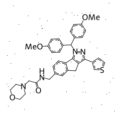 COc1ccc(C(c2ccc(OC)cc2)n2nc(-c3ccsc3)c3c2-c2ccc(CNC(=O)CN4CCOCC4)cc2C3)cc1